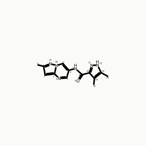 Cc1cc2ncc(NC(=O)c3n[nH]c(C)c3C)cn2n1